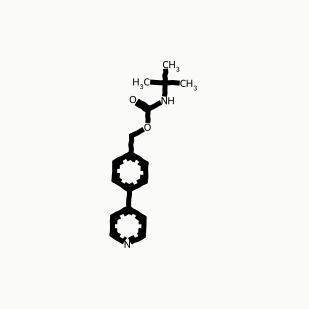 CC(C)(C)NC(=O)OCc1ccc(-c2ccncc2)cc1